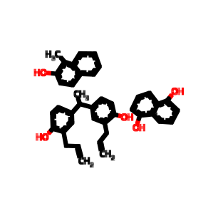 C=CCc1cc(C(C)c2ccc(O)c(CC=C)c2)ccc1O.Cc1c(O)ccc2ccccc12.Oc1cccc2c(O)cccc12